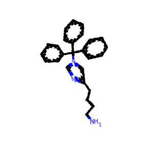 NCCCCc1cn(C(c2ccccc2)(c2ccccc2)c2ccccc2)cn1